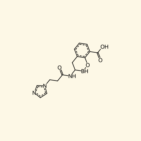 O=C(CCn1ccnc1)NC1BOc2c(cccc2C(=O)O)C1